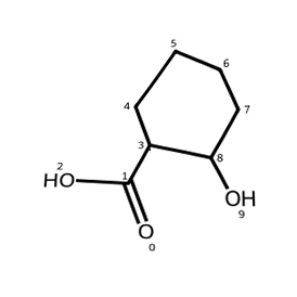 O=C(O)[C]1CCCCC1O